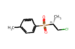 Cc1ccc(S(=O)(=O)[C@H](C)CCl)cc1